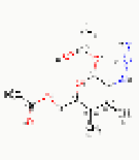 CC(=O)OCC1OC(OC(C)=O)C(N=[N+]=[N-])[C@@H](C)[C@H]1C